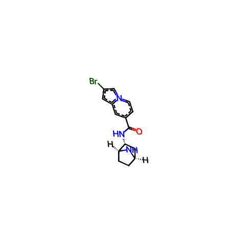 O=C(N[C@@H]1C[C@H]2CC[C@@H]1N2)c1ccn2cc(Br)cc2c1